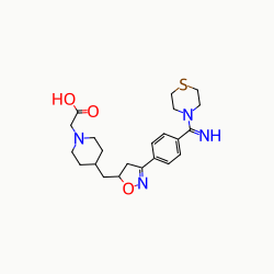 N=C(c1ccc(C2=NOC(CC3CCN(CC(=O)O)CC3)C2)cc1)N1CCSCC1